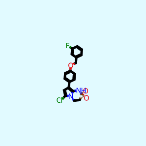 O=S1(=O)CCn2c(Cl)cc(-c3ccc(OCc4cccc(F)c4)cc3)c2N1